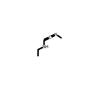 CCNC=C=NC